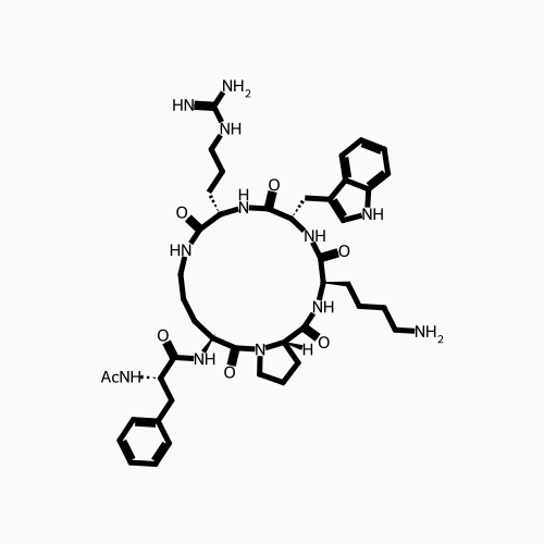 CC(=O)N[C@@H](Cc1ccccc1)C(=O)N[C@H]1CCCNC(=O)[C@H](CCCNC(=N)N)NC(=O)[C@H](Cc2c[nH]c3ccccc23)NC(=O)[C@@H](CCCCN)NC(=O)[C@@H]2CCCN2C1=O